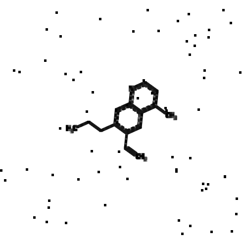 C=Cc1cc2c(C)ccnc2cc1CCC